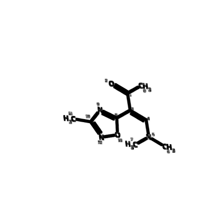 CC(=O)/C(=C/N(C)C)c1nc(C)no1